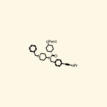 CCCC#Cc1ccc(CN(C(=O)[C@H]2CC[C@H](CCCCC)CC2)C2CCN(Cc3ccccc3)CC2)cc1